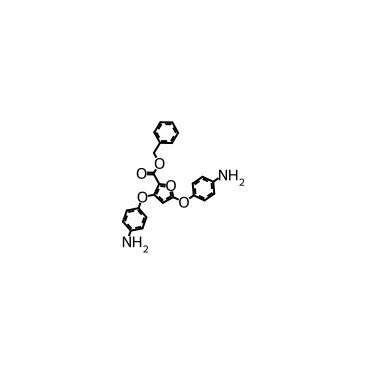 Nc1ccc(Oc2cc(Oc3ccc(N)cc3)c(C(=O)OCc3ccccc3)o2)cc1